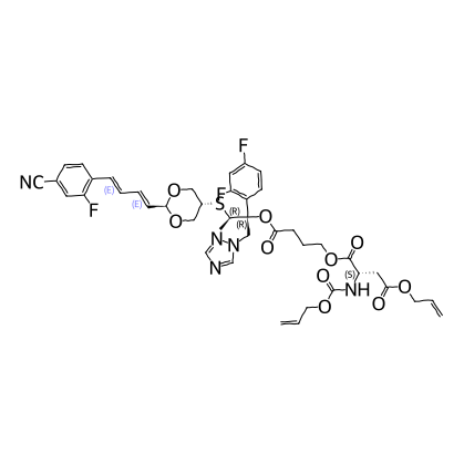 C=CCOC(=O)C[C@H](NC(=O)OCC=C)C(=O)OCCCC(=O)O[C@@](Cn1cncn1)(c1ccc(F)cc1F)[C@@H](C)S[C@H]1CO[C@H](/C=C/C=C/c2ccc(C#N)cc2F)OC1